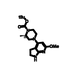 COc1cc(N2CCN(C(=O)OC(C)(C)C)[C@@H](C)C2)c2c(n1)NCC2